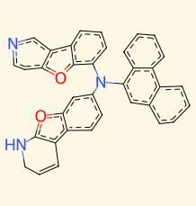 C1=Cc2c(oc3cc(N(c4cc5ccccc5c5ccccc45)c4cccc5c4oc4ccncc45)ccc23)NC1